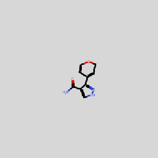 NC(=O)c1c[nH]nc1C1=CCOC=C1